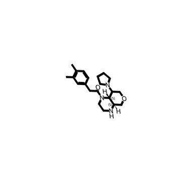 Cc1ccc(CC(=O)N2CCN[C@@H]3COCC(N4CCCC4)[C@H]32)cc1C